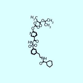 CC(C)OC(=O)C(C)OC(=O)Oc1ccc(C(=O)NS(=O)(=O)c2cccc(CCNC(=O)C3CCCCC3)c2)cn1